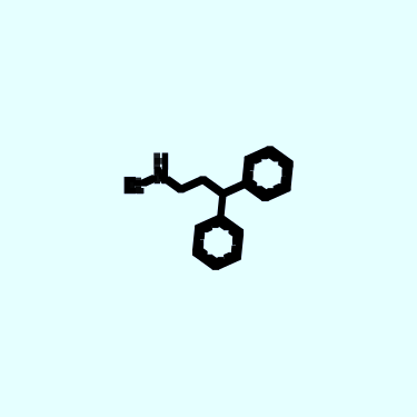 CCNCCC(c1ccccc1)c1ccccc1